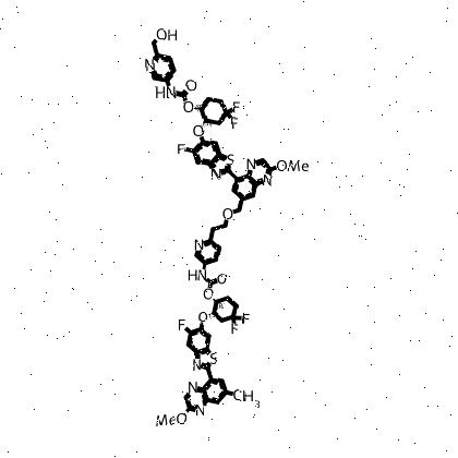 COc1cnc2c(-c3nc4cc(F)c(O[C@H]5CC(F)(F)CC[C@H]5OC(=O)Nc5ccc(CCOCc6cc(-c7nc8cc(F)c(O[C@H]9CC(F)(F)CC[C@H]9OC(=O)Nc9ccc(CO)nc9)cc8s7)c7ncc(OC)nc7c6)nc5)cc4s3)cc(C)cc2n1